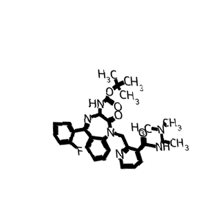 CC(NC(=O)c1cccnc1CN1C(=O)C(NC(=O)OC(C)(C)C)N=C(c2ccccc2F)c2ccccc21)N(C)C